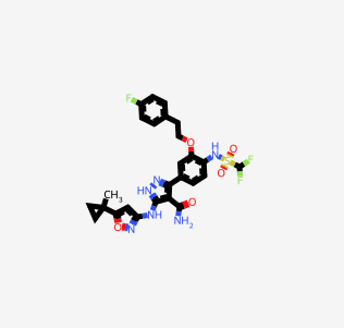 CC1(c2cc(Nc3[nH]nc(-c4ccc(NS(=O)(=O)C(F)F)c(OCCc5ccc(F)cc5)c4)c3C(N)=O)no2)CC1